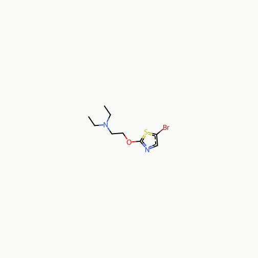 CCN(CC)CCOc1ncc(Br)s1